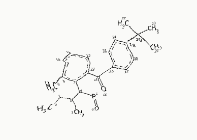 CCC(C)C(P=O)c1c(C)cccc1C(=O)c1ccc(C(C)(C)C)cc1